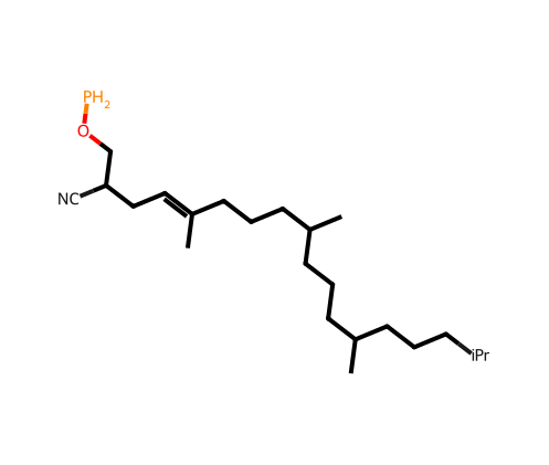 C/C(=C\CC(C#N)COP)CCCC(C)CCCC(C)CCCC(C)C